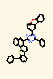 c1ccc(-c2nc(-c3ccc4oc5ccccc5c4c3)nc(-c3cc4ccccc4c4c3ccc3c5cccc(-c6ccccc6)c5sc34)n2)cc1